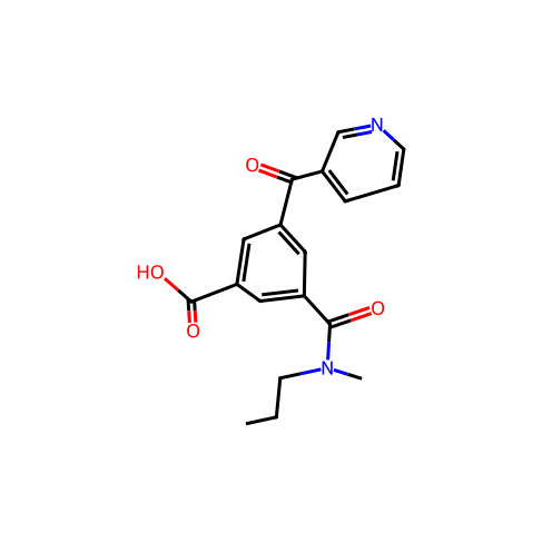 CCCN(C)C(=O)c1cc(C(=O)O)cc(C(=O)c2cccnc2)c1